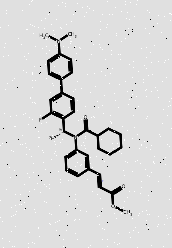 [2H][C@H](c1ccc(-c2ccc(N(C)C)cc2)cc1F)N(C(=O)C1CCCCC1)c1cccc(/C=C/C(=O)OC)c1